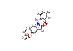 CC1(C)C=Cc2cc3c(cc2O1)CC(=O)N3Cc1ccccc1